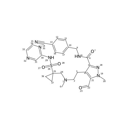 CN(CCc1c(C(=O)NCc2ccc(C#N)cc2)nn(C)c1C=O)CC1(S(=O)(=O)Nc2cnccn2)CC1